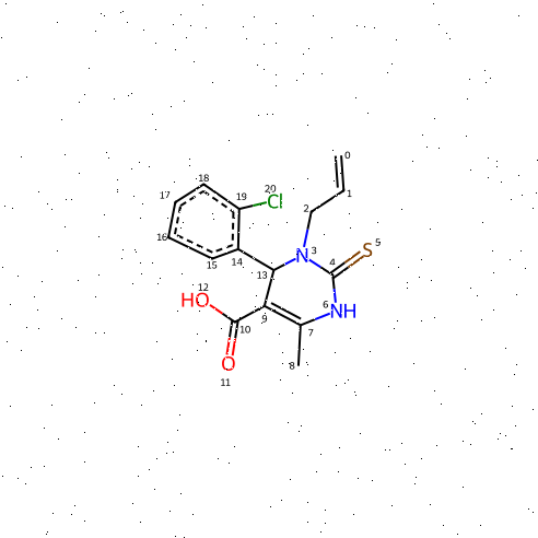 C=CCN1C(=S)NC(C)=C(C(=O)O)C1c1ccccc1Cl